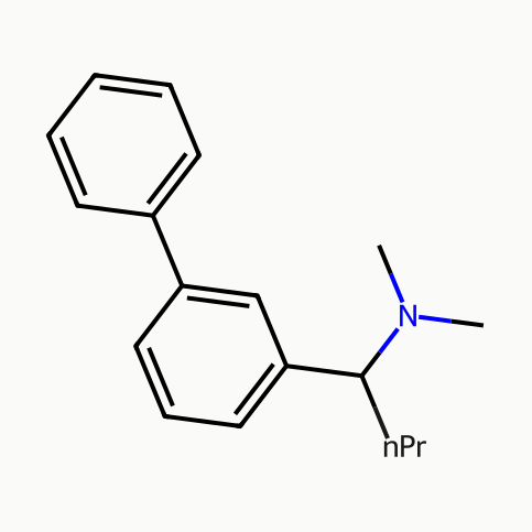 CCCC(c1cccc(-c2ccccc2)c1)N(C)C